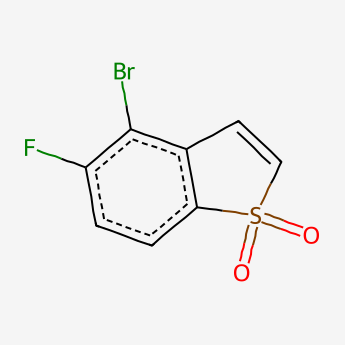 O=S1(=O)C=Cc2c1ccc(F)c2Br